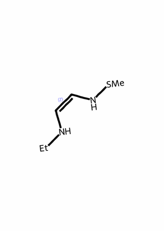 CCN/C=C\NSC